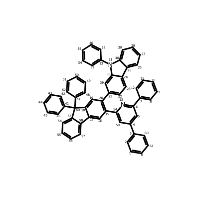 c1ccc(-c2cc(-c3ccccc3)nc(-c3cc4c(cc3-c3ccc5c6ccccc6n(-c6ccccc6)c5c3)C(c3ccccc3)(c3ccccc3)c3ccccc3-4)c2)cc1